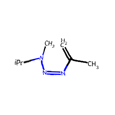 C=C(C)/N=N\N(C)C(C)C